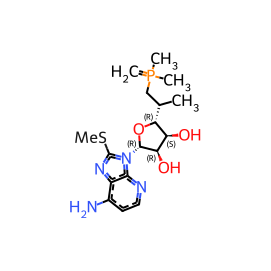 C=P(C)(C)CC(C)[C@H]1O[C@@H](n2c(SC)nc3c(N)ccnc32)[C@H](O)[C@@H]1O